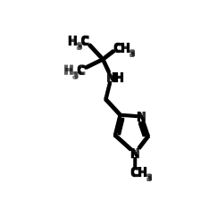 Cn1cnc(CNC(C)(C)C)c1